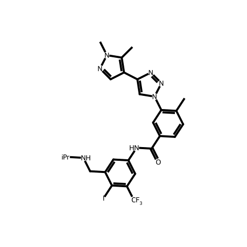 Cc1ccc(C(=O)Nc2cc(CNC(C)C)c(I)c(C(F)(F)F)c2)cc1-n1cc(-c2cnn(C)c2C)nn1